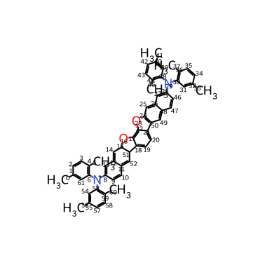 Cc1ccc(C)c(N(c2ccc3c(c2)=CC2Oc4c(ccc5c4oc4cc6cc(N(c7cc(C)ccc7C)c7cc(C)ccc7C)ccc6cc45)C2C=3)c2cc(C)ccc2C)c1